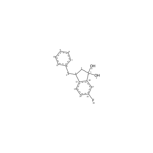 OS1(O)CC(Sc2ccccc2)c2ccc(F)cc21